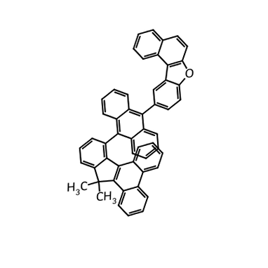 CC1(C)c2cccc(-c3c4ccccc4c(-c4ccc5oc6ccc7ccccc7c6c5c4)c4ccccc34)c2-c2c1c1ccccc1c1ccccc21